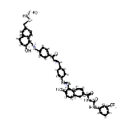 O=CNOCc1ccc2c(/N=N/c3ccc(C(=O)/C=C/c4ccc(/N=N/c5c(O)ccc6cc(C(=O)NC(=O)Nc7cccc(C(F)(F)F)c7)ccc56)cc4)cc3)c(O)ccc2c1